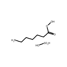 NCCCCCC(=O)OO.O=S(=O)(O)O